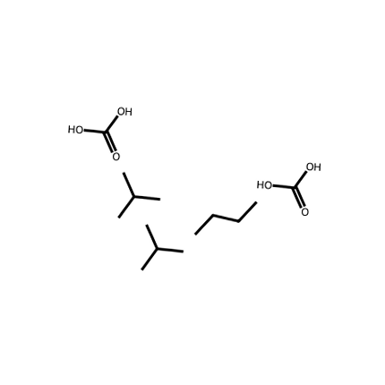 CC(C)C.CC(C)C.CCCC.O=C(O)O.O=C(O)O